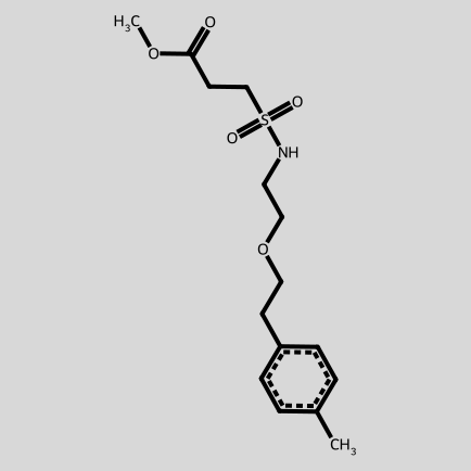 COC(=O)CCS(=O)(=O)NCCOCCc1ccc(C)cc1